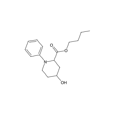 CCCCOC(=O)C1CC(O)CCN1c1ccccc1